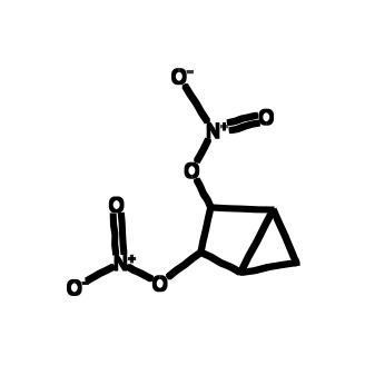 O=[N+]([O-])OC1C2CC2C1O[N+](=O)[O-]